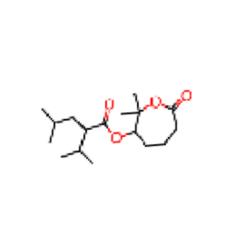 CC(C)CC(C(=O)OC1CCCC(=O)OC1(C)C)C(C)C